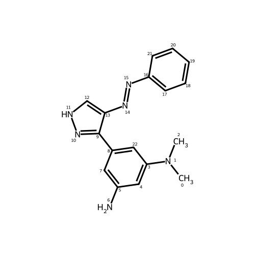 CN(C)c1cc(N)cc(-c2n[nH]cc2N=Nc2ccccc2)c1